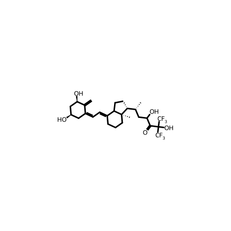 C=C1/C(=C\C=C2CCC[C@@]3(C)C2CC[C@@H]3[C@H](C)CC(O)C(=O)C(O)(C(F)(F)F)C(F)(F)F)C[C@@H](O)C[C@H]1O